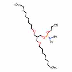 CCCCCCCCCCCCCCCCCCOCC(COCCCCCCCCCCCCCCCCC)COP(OCCC#N)N(C(C)C)C(C)C